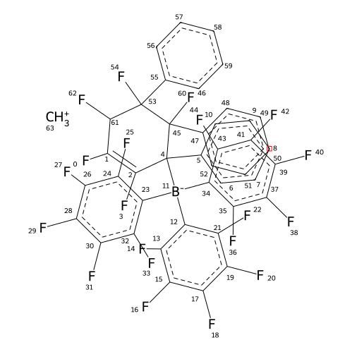 FC1=C(F)C(c2ccccc2)([B-](c2c(F)c(F)c(F)c(F)c2F)(c2c(F)c(F)c(F)c(F)c2F)c2c(F)c(F)c(F)c(F)c2F)C(F)(c2ccccc2)C(F)(c2ccccc2)C1F.[CH3+]